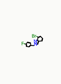 Fc1ccc(Cn2cc3cccc(Br)c3n2)cc1